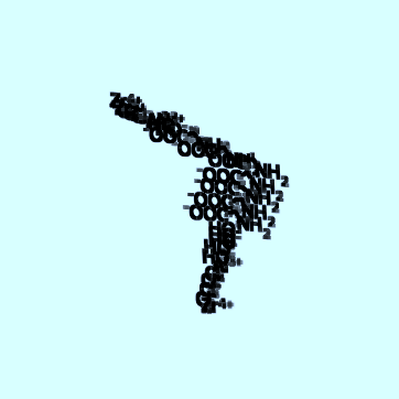 NCC(=O)[O-].NCC(=O)[O-].NCC(=O)[O-].NCC(=O)[O-].NCC(=O)[O-].NCC(=O)[O-].NCC(=O)[O-].[Al+3].[Al+3].[Al+3].[Cl-].[Cl-].[Cl-].[Cl-].[Cl-].[Cl-].[Cl-].[OH-].[OH-].[OH-].[OH-].[OH-].[OH-].[OH-].[Zr+4].[Zr+4].[Zr+4]